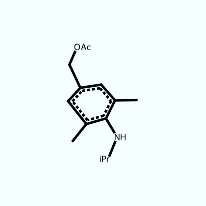 CC(=O)OCc1cc(C)c(NC(C)C)c(C)c1